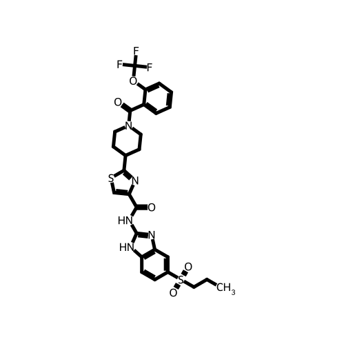 CCCS(=O)(=O)c1ccc2[nH]c(NC(=O)c3csc(C4CCN(C(=O)c5ccccc5OC(F)(F)F)CC4)n3)nc2c1